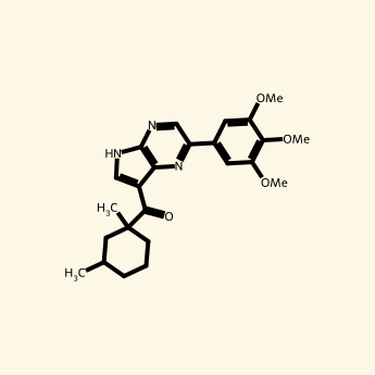 COc1cc(-c2cnc3[nH]cc(C(=O)C4(C)CCCC(C)C4)c3n2)cc(OC)c1OC